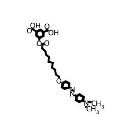 CCN(CC)c1ccc(N=Nc2ccc(OCCCCCCCCCCC(=O)Oc3cc(C(=O)O)cc(C(=O)O)c3)cc2)cc1